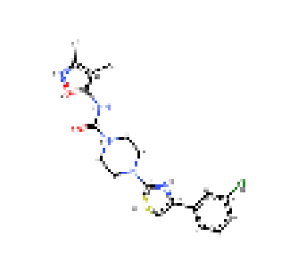 Cc1noc(NC(=O)N2CCN(c3nc(-c4cccc(Cl)c4)cs3)CC2)c1C